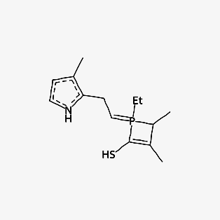 CCP1(=CCc2[nH]ccc2C)C(S)=C(C)C1C